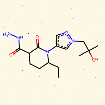 CCC1CCC(C(=O)NN)C(=O)N1c1cnn(CC(C)(C)O)c1